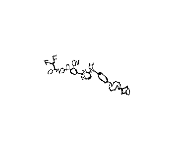 N#Cc1cc(-c2nccc(Nc3ccc(N4CCN(C5COC5)CC4)cc3)n2)ccc1O[C@@H]1CCN(C(=O)C(F)F)C1